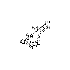 COCCOC(=O)C(C)OC(=O)C(C)OC(=O)OCC1(COC(=O)NCCCCC(N)C(=O)NC(CC(=O)O)C(=O)O)CSSC1